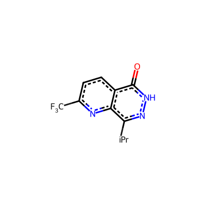 CC(C)c1n[nH]c(=O)c2ccc(C(F)(F)F)nc12